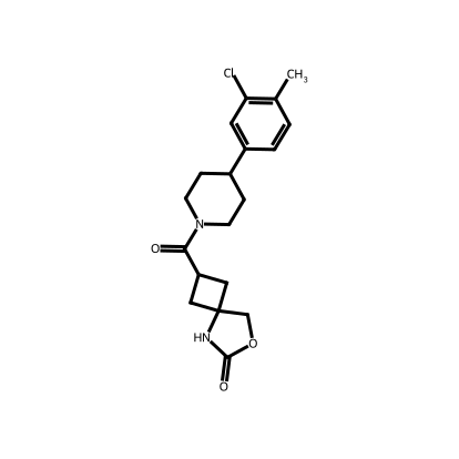 Cc1ccc(C2CCN(C(=O)C3CC4(COC(=O)N4)C3)CC2)cc1Cl